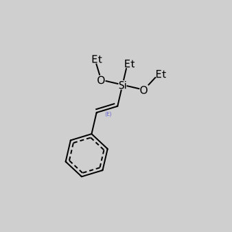 CCO[Si](/C=C/c1ccccc1)(CC)OCC